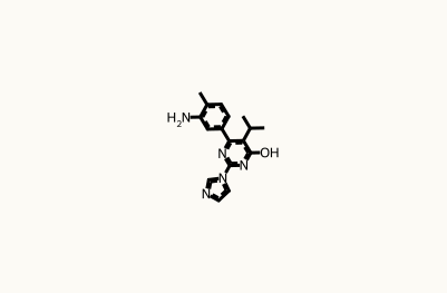 Cc1ccc(-c2nc(-n3ccnc3)nc(O)c2C(C)C)cc1N